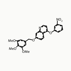 COc1cc(COc2ccc3c(Oc4cccc([N+](=O)[O-])c4)ccnc3c2)cc(OC)c1OC